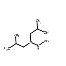 CCCNN(CC(C)O)CC(C)O